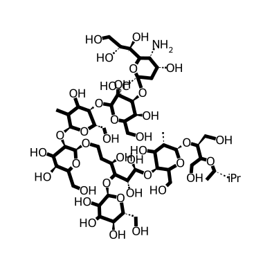 CC1C(O)[C@H](OC2OC(CO)[C@H](O)[C@H](O[C@]3(C(=O)O)C[C@@H](O)[C@@H](N)C([C@H](O)[C@H](O)CO)O3)C2O)[C@H](CO)O[C@H]1O[C@@H]1C(O)[C@H](O)C(CO)O[C@@H]1OCC[C@@H](O)C(O[C@H]1O[C@H](CO)[C@@H](O)C(O)C1O)[C@@H](O)[C@@H](O)O[C@@H]1C(CO)O[C@@H](O[C@@H](CO)C(CO)O[C@@H](C)C(C)C)[C@@H](C)C1O